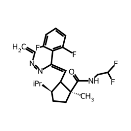 C=C/N=N\C(=C/C1[C@H](C(C)C)CC[C@]1(C)C(=O)NCC(F)F)c1c(F)cccc1F